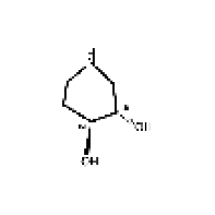 O[C@H]1CCNC[C@@H]1O